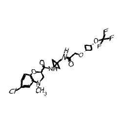 CN1CC(C(=O)NC23CC2(NC(=O)CO[C@H]2C[C@@H](OC(F)(F)F)C2)C3)Oc2ccc(Cl)cc21